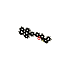 c1ccc2c(-c3c4ccccc4c(-c4ccc(-c5ccc6c(c5)oc5c6ccc6c5sc5ccc7ccccc7c56)cc4)c4ccccc34)cccc2c1